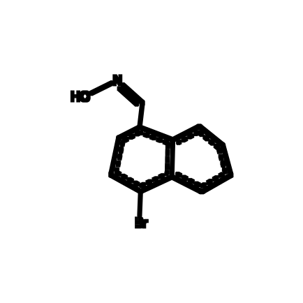 O/N=C\c1ccc(Br)c2ccccc12